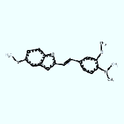 COc1ccc2oc(/C=C/c3ccc(N(C)C)c(OC)c3)cc2c1